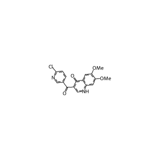 COc1cc2[nH]cc(C(=O)c3ccc(Cl)nc3)c(=O)c2cc1OC